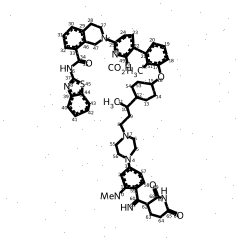 CNc1cc(N2CCN(CCC(C)C3CCC(Oc4cccc(-c5ccc(N6CCc7cccc(C(=O)Nc8nc9ccccc9s8)c7C6)nc5C(=O)O)c4C)CC3)CC2)ccc1C(=N)C1CCC(=O)NC1=O